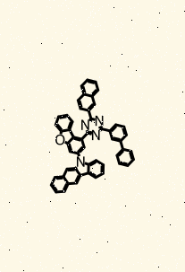 c1ccc(-c2cccc(-c3nc(-c4ccc5ccccc5c4)nc(-c4cc(-n5c6ccccc6c6cc7ccccc7cc65)cc5oc6ccccc6c45)n3)c2)cc1